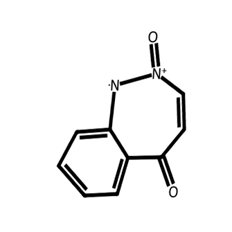 O=C1C=C[N+](=O)[N]c2ccccc21